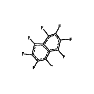 [CH2]c1c(F)c(F)c(F)c2c(F)c(F)c(F)c(F)c12